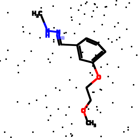 CN/N=C/c1cccc(OCCOC)c1